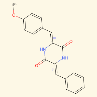 CC(C)Oc1ccc(/C=c2\[nH]c(=O)/c(=C/c3ccccc3)[nH]c2=O)cc1